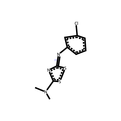 CN(C)c1n/c(=N/c2cccc(Cl)c2)ss1